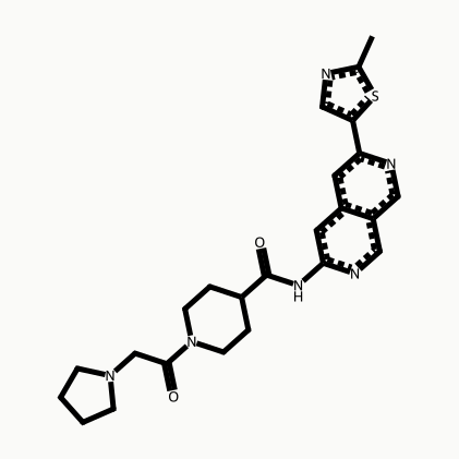 Cc1ncc(-c2cc3cc(NC(=O)C4CCN(C(=O)CN5CCCC5)CC4)ncc3cn2)s1